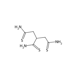 NC(=S)CC(CC(N)=S)C(N)=S